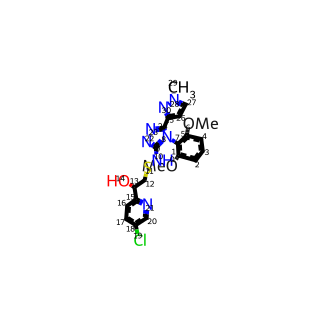 COc1cccc(OC)c1-n1c(NSCC(O)c2ccc(Cl)cn2)nnc1-c1ccn(C)n1